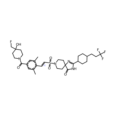 Cc1cc(C(=O)N2CCC(O)(CF)CC2)cc(C)c1/C=C/S(=O)(=O)N1CCC2(CC1)N=C(C1CCC(CCC(F)(F)F)CC1)NC2=O